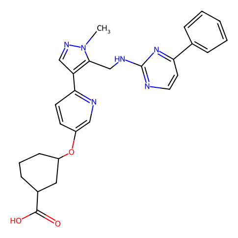 Cn1ncc(-c2ccc(OC3CCCC(C(=O)O)C3)cn2)c1CNc1nccc(-c2ccccc2)n1